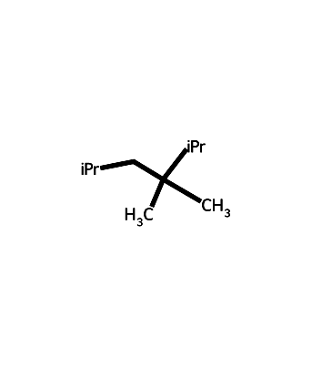 CC(C)CC(C)(C)C(C)C